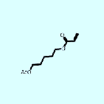 C=CC(=O)OCCCCCOC(C)=O